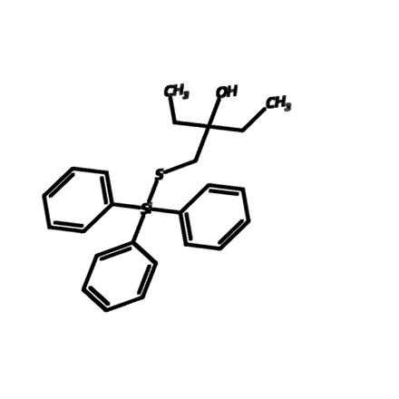 CCC(O)(CC)CS[Si](c1ccccc1)(c1ccccc1)c1ccccc1